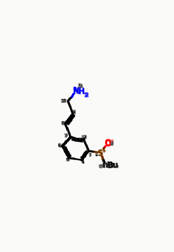 CCCC[S+]([O-])c1cccc(/C=C/CN)c1